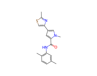 Cc1ccc(C)c(NC(=O)c2cc(-c3csc(C)n3)cn2C)c1